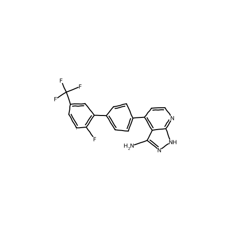 Nc1n[nH]c2nccc(-c3ccc(-c4cc(C(F)(F)F)c[c]c4F)cc3)c12